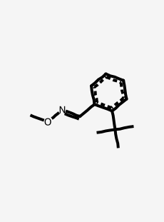 CON=Cc1ccccc1C(C)(C)C